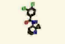 O=C(NC1C2CCN(CC2)C12CC2)c1ccc(Cl)c(Cl)c1